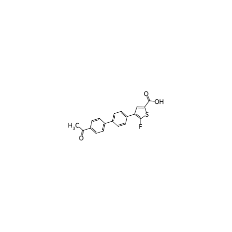 CC(=O)c1ccc(-c2ccc(-c3cc(C(=O)O)sc3F)cc2)cc1